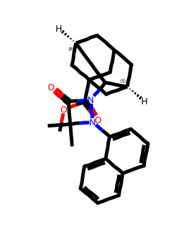 COC(=O)C12CC3C[C@H](C1)C(N1C(=O)C(C)(C)N1c1cccc4ccccc14)[C@@H](C3)C2